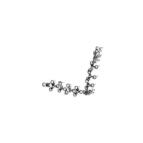 [Al+3].[Al+3].[Al+3].[Be+2].[Be+2].[Be+2].[Cs+].[Cs+].[Cs+].[K+].[K+].[K+].[O-]B([O-])[O-].[O-]B([O-])[O-].[O-]B([O-])[O-].[O-]B([O-])[O-].[O-]B([O-])[O-].[O-]B([O-])[O-].[O-]B([O-])[O-]